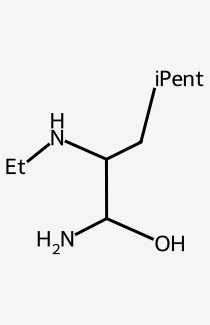 CCCC(C)CC(NCC)C(N)O